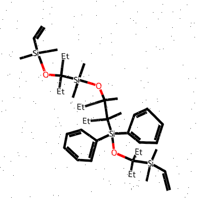 C=C[Si](C)(C)OC(CC)(CC)[Si](C)(C)OC(C)(CC)C(C)(CC)[Si](OC(CC)(CC)[Si](C)(C)C=C)(c1ccccc1)c1ccccc1